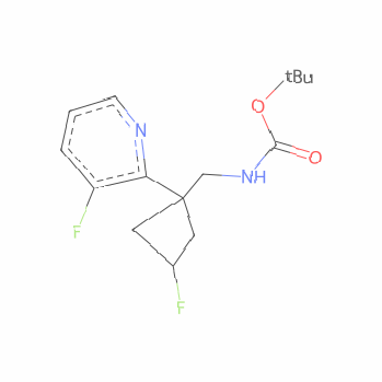 CC(C)(C)OC(=O)NCC1(c2ncccc2F)CC(F)C1